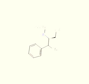 CCOC(=O)N[C@@H](COC(C)=O)C(C#N)c1ccccc1